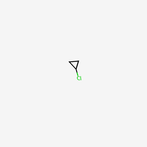 ClC1CC1